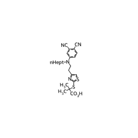 CCCCCCCN(CCc1csc(SC(C)(C)C(=O)O)n1)c1ccc(C#N)c(C#N)c1